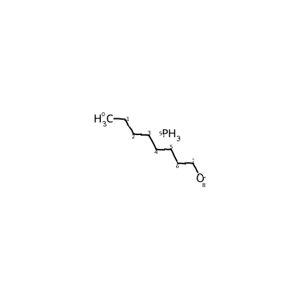 CCCCCCCC[O].P